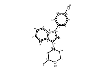 CC1CN(c2nn(-c3ccc(Cl)cc3)c3cccnc23)CCO1